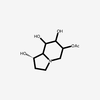 CC(=O)OC1CN2CC[C@H](O)C2C(O)C1O